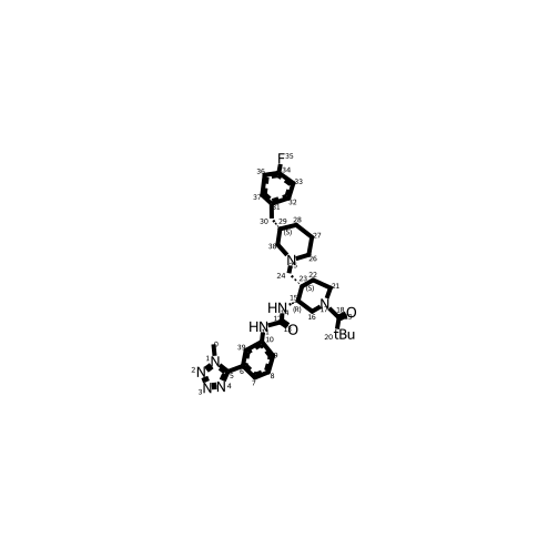 Cn1nnnc1-c1cccc(NC(=O)N[C@H]2CN(C(=O)C(C)(C)C)CC[C@H]2CN2CCC[C@@H](Cc3ccc(F)cc3)C2)c1